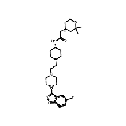 CC1(C)C[C@@H](CC(=O)N[C@H]2CC[C@H](CCN3CCN(c4noc5ccc(F)cc45)CC3)CC2)CCO1